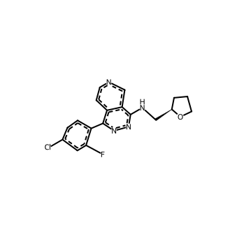 Fc1cc(Cl)ccc1-c1nnc(NC[C@H]2CCCO2)c2cnccc12